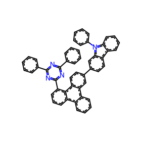 c1ccc(-c2nc(-c3ccccc3)nc(-c3cccc4c5ccccc5c5cc(-c6ccc7c8ccccc8n(-c8ccccc8)c7c6)ccc5c34)n2)cc1